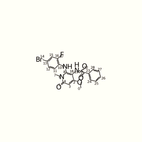 COc1cc(=O)n(C)c(Nc2ccc(Br)cc2F)c1NS(=O)(=O)c1ccccc1